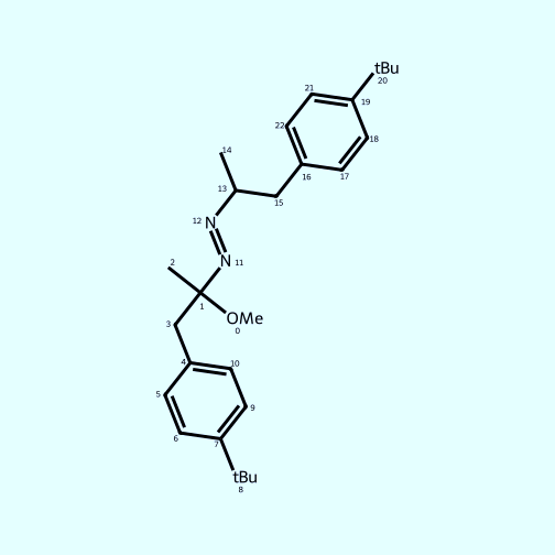 COC(C)(Cc1ccc(C(C)(C)C)cc1)/N=N/C(C)Cc1ccc(C(C)(C)C)cc1